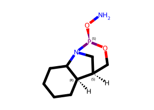 NO[P@@]1OC[C@@H]2CN1C1CCCC[C@@H]12